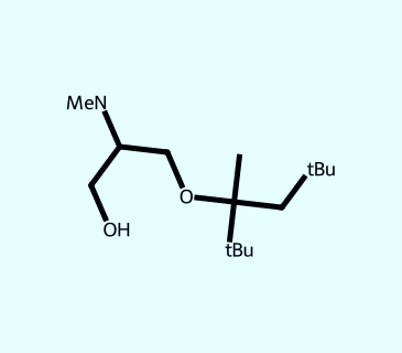 CNC(CO)COC(C)(CC(C)(C)C)C(C)(C)C